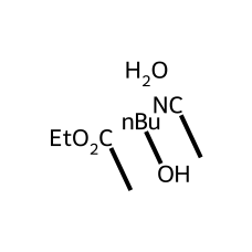 CC#N.CCCCO.CCOC(C)=O.O